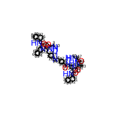 CN[C@@H](C)C(=O)NC(Cc1ccc(N(C)Cc2ccc(C(=O)NC3CC(C(=O)NC4CCCc5ccccc54)N(C(=O)C(NC(=O)[C@H](C)NC)C(C)(C)C)C3)cc2)cc1)C(=O)N1Cc2ccccc2CC1C(=O)NC1CCCc2ccccc21